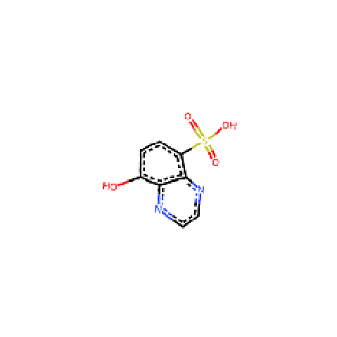 O=S(=O)(O)c1ccc(O)c2nccnc12